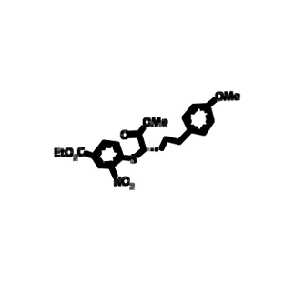 CCOC(=O)c1ccc(S[C@@H](CCCc2ccc(OC)cc2)C(=O)OC)c([N+](=O)[O-])c1